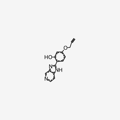 C#CCOc1ccc(-c2nc3cnccc3[nH]2)c(O)c1